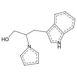 OCC(Cc1c[nH]c2ccccc12)n1cccc1